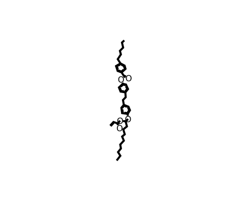 C=CC(=O)OC(CCCCCCCCCC)Oc1ccc(CCc2ccc(OC(=O)c3ccc(CCCCCC)cc3)cc2)cc1